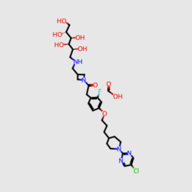 O=C(Cc1ccc(OCCCC2CCN(c3ncc(Cl)cn3)CC2)cc1F)N1CC(CNC[C@H](O)[C@@H](O)[C@H](O)[C@H](O)CO)C1.O=CO